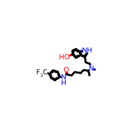 CC(CCCCC(=O)Nc1ccc(C(F)(F)F)cc1)N(C)CCc1c[nH]c2ccc(O)cc12